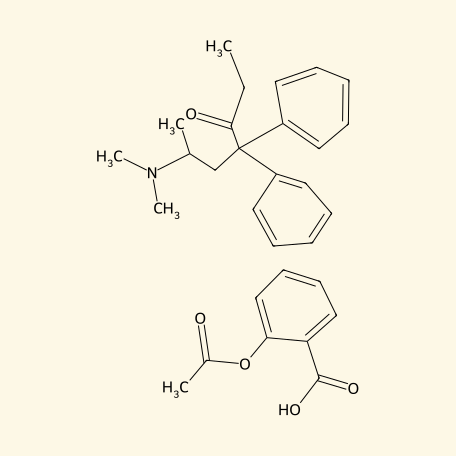 CC(=O)Oc1ccccc1C(=O)O.CCC(=O)C(CC(C)N(C)C)(c1ccccc1)c1ccccc1